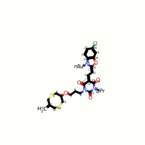 C=C1CSCC(OCCCN2C(=O)/C(=C/C=C3/Oc4cc(Cl)ccc4N3CCCC)C(=O)N(C(C)C)C2=O)CSC1